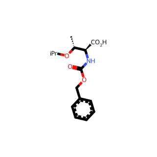 CC(C)O[C@H](C)[C@H](NC(=O)OCc1ccccc1)C(=O)O